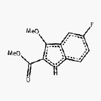 COC(=O)c1[nH]c2ccc(F)cc2c1OC